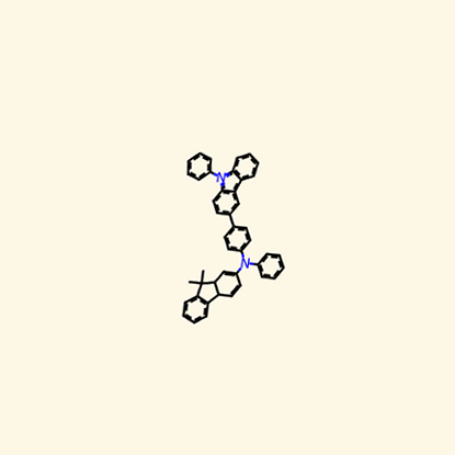 CC1(C)c2ccccc2C2C=CC(N(c3ccccc3)c3ccc(-c4ccc5c(c4)c4ccccc4n5-c4ccccc4)cc3)=CC21